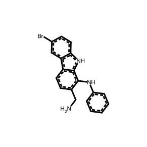 NCc1ccc2c([nH]c3ccc(Br)cc32)c1Nc1ccccc1